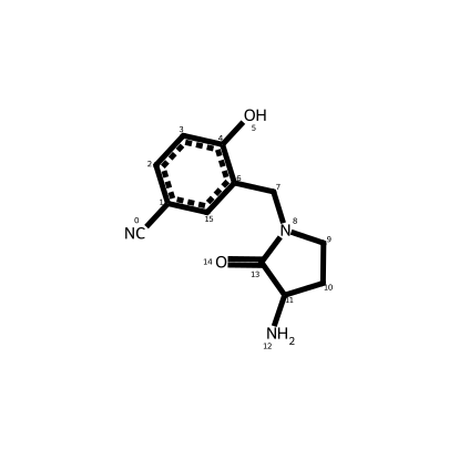 N#Cc1ccc(O)c(CN2CCC(N)C2=O)c1